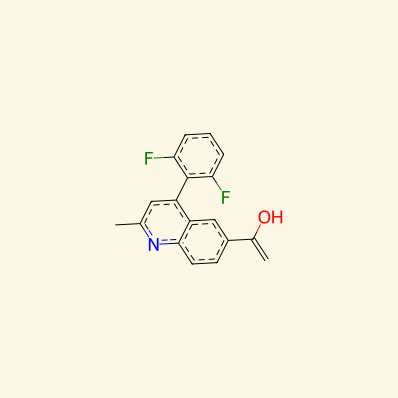 C=C(O)c1ccc2nc(C)cc(-c3c(F)cccc3F)c2c1